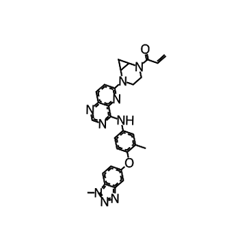 C=CC(=O)N1CCN(c2ccc3ncnc(Nc4ccc(Oc5ccc6c(c5)nnn6C)c(C)c4)c3n2)C2CC21